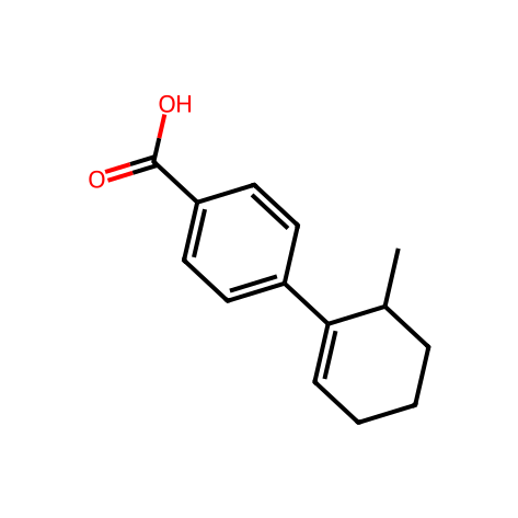 CC1CCCC=C1c1ccc(C(=O)O)cc1